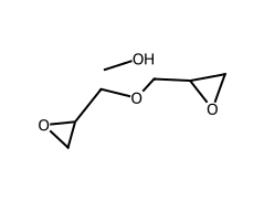 C(OCC1CO1)C1CO1.CO